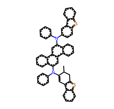 CC1Cc2sc3ccccc3c2C=C1N(c1ccccc1)c1cc2c3ccccc3c(N(c3ccccc3)c3ccc4sc5ccccc5c4c3)cc2c2ccccc12